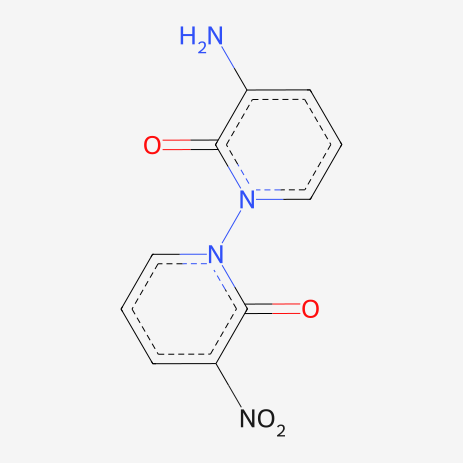 Nc1cccn(-n2cccc([N+](=O)[O-])c2=O)c1=O